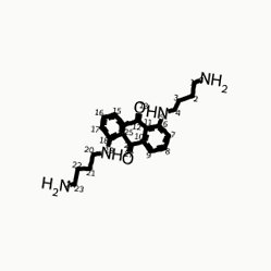 NCCCCNc1cccc2c1C(=O)c1cccc(NCCCCN)c1C2=O